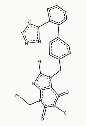 CCc1nc2c(c(=O)n(C)c(=O)n2CC(C)C)n1Cc1ccc(-c2ccccc2-c2nnn[nH]2)cc1